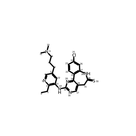 CCc1ncc(CCCN(C)C)cc1Nc1ncc2c(n1)-c1ccc(Cl)cc1NC(=S)C2